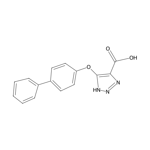 O=C(O)c1nn[nH]c1Oc1ccc(-c2ccccc2)cc1